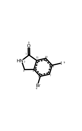 O=C1NCc2c(Br)cc(I)cc21